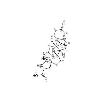 CC(=O)[C@@]1(CCC(=O)O)CC[C@H]2[C@@H]3C=CC4=CC(=O)CC[C@@]4(C)[C@H]3CC[C@@]21C